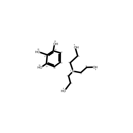 OCCN(CCO)CCO.Oc1cccc(O)c1O